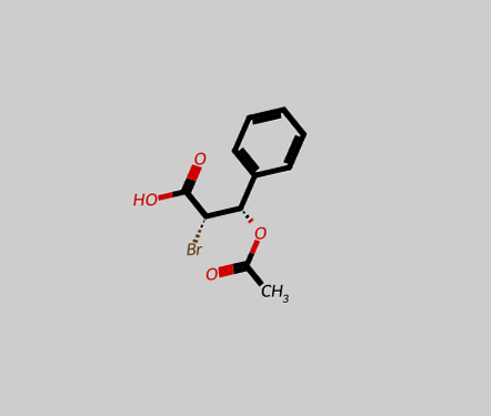 CC(=O)O[C@@H](c1ccccc1)[C@H](Br)C(=O)O